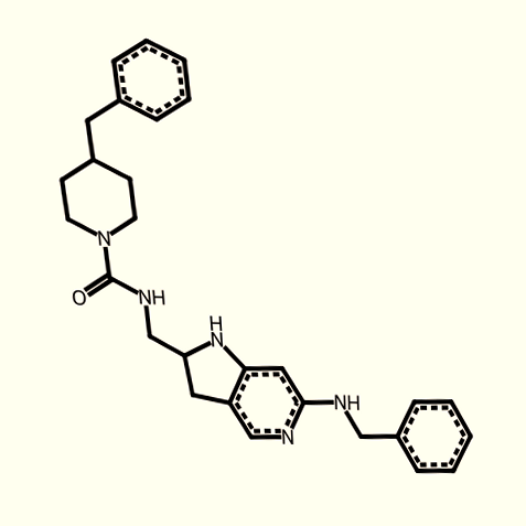 O=C(NCC1Cc2cnc(NCc3ccccc3)cc2N1)N1CCC(Cc2ccccc2)CC1